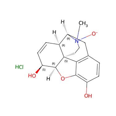 C[N+]1([O-])CC[C@]23c4c5ccc(O)c4O[C@H]2[C@@H](O)C=C[C@H]3[C@H]1C5.Cl